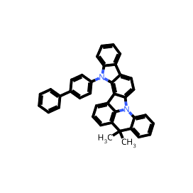 CC1(C)c2ccccc2-n2c3ccc4c5ccccc5n(-c5ccc(-c6ccccc6)cc5)c4c3c3cccc1c32